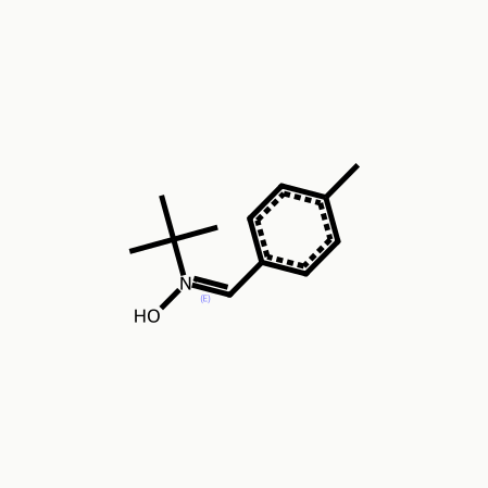 Cc1ccc(/C=[N+](/O)C(C)(C)C)cc1